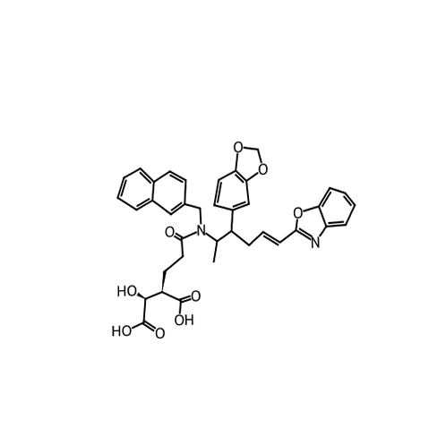 CC(C(C/C=C/c1nc2ccccc2o1)c1ccc2c(c1)OCO2)N(Cc1ccc2ccccc2c1)C(=O)CC[C@@H](C(=O)O)[C@H](O)C(=O)O